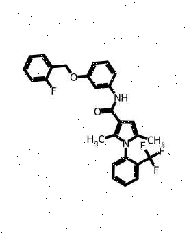 Cc1cc(C(=O)Nc2cccc(OCc3ccccc3F)c2)c(C)n1-c1ccccc1C(F)(F)F